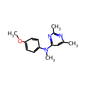 COc1ccc(N(C)c2cc(C)nc(C)n2)cc1